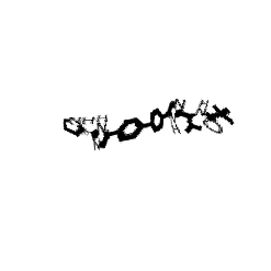 CC(C)C(NC(=O)C(C)(C)C)c1ncc(-c2ccc(-c3ccc(-c4cnc([C@@H]5CCCN5)[nH]4)cc3)cc2)[nH]1